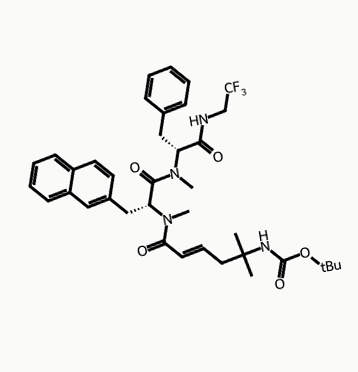 CN(C(=O)/C=C/CC(C)(C)NC(=O)OC(C)(C)C)[C@H](Cc1ccc2ccccc2c1)C(=O)N(C)[C@H](Cc1ccccc1)C(=O)NCC(F)(F)F